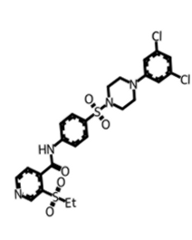 CCS(=O)(=O)c1cnccc1C(=O)Nc1ccc(S(=O)(=O)N2CCN(c3cc(Cl)cc(Cl)c3)CC2)cc1